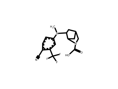 CN(c1ccc(C#N)c(C(F)(F)F)c1)C1CC2CC1N(C(=O)O)C2